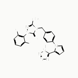 CCCCc1nn(-c2c(Cl)cccc2Cl)c(=O)n1Cc1ccc(-n2cccc2-c2nnn[nH]2)cc1